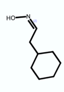 O/N=C\CC1CCCCC1